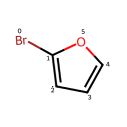 Brc1[c]cco1